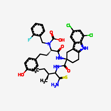 CC[C@H](C)C(NC(=O)[C@@]1(NC(=O)[C@H](CCc2ccc(O)cc2)N(Cc2ccccc2F)C(=O)O)CCc2[nH]c3c(Cl)cc(Cl)cc3c2C1)C(N)=S